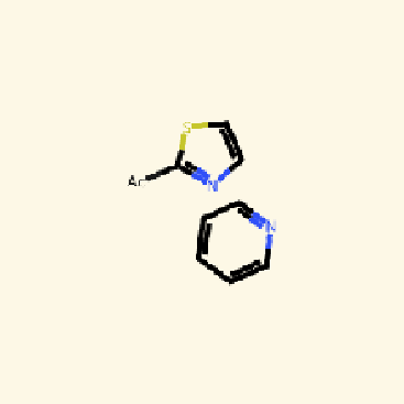 CC(=O)c1nccs1.c1ccncc1